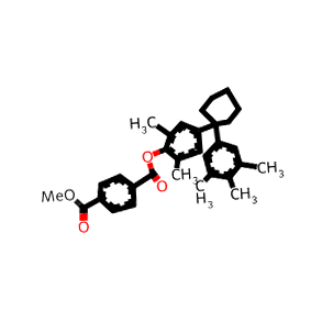 COC(=O)c1ccc(C(=O)Oc2c(C)cc(C3(c4cc(C)c(C)c(C)c4)CCCCC3)cc2C)cc1